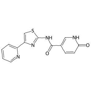 O=C(Nc1nc(-c2ccccn2)cs1)c1ccc(=O)[nH]c1